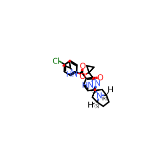 O=C(NC1CC1)c1ccc(N2[C@@H]3CC[C@H]2C[C@@H](NC(=O)C2(Oc4ccc(Cl)cc4)CC2)C3)nc1